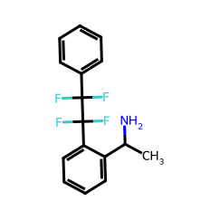 CC(N)c1ccccc1C(F)(F)C(F)(F)c1ccccc1